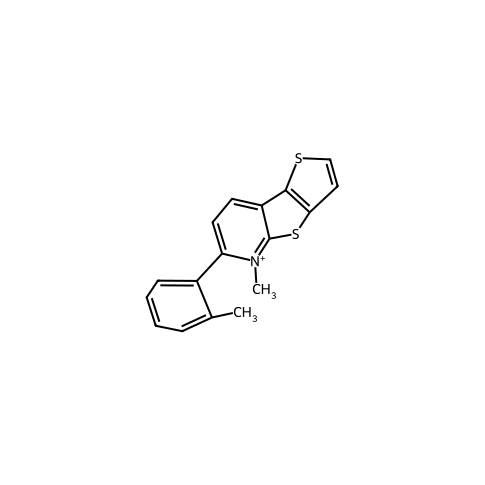 Cc1ccccc1-c1ccc2c3sccc3sc2[n+]1C